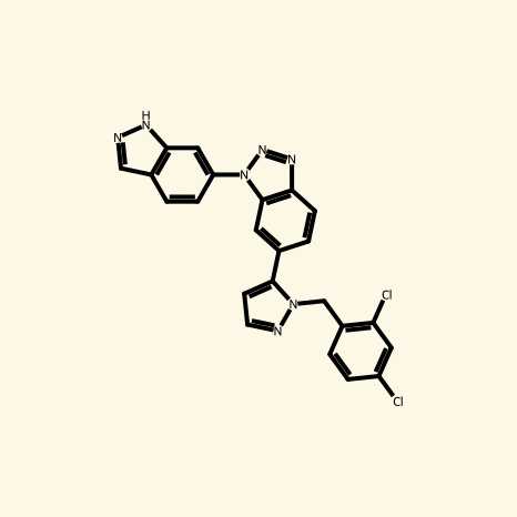 Clc1ccc(Cn2nccc2-c2ccc3nnn(-c4ccc5cn[nH]c5c4)c3c2)c(Cl)c1